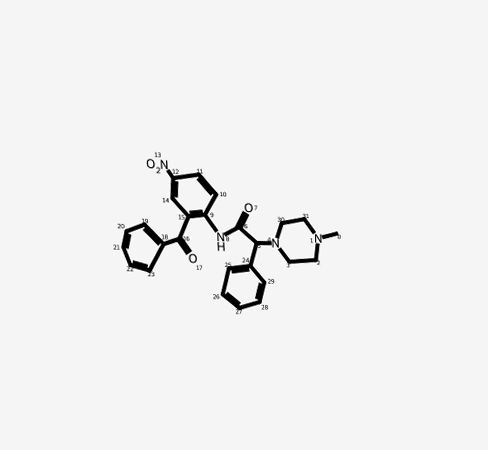 CN1CCN(C(C(=O)Nc2ccc([N+](=O)[O-])cc2C(=O)c2ccccc2)c2ccccc2)CC1